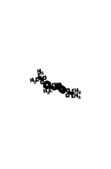 C=C(C)C(=O)OC1CCC(C(C)(C)CC2CCC3C4CC(CC4OC(=O)C(=C)C)C23)CC1